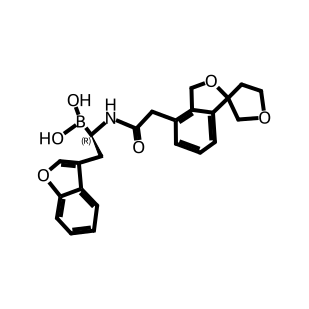 O=C(Cc1cccc2c1COC21CCOC1)N[C@@H](Cc1coc2ccccc12)B(O)O